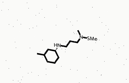 CSN(C)CCCN[C@@H]1CCCC(C)C1